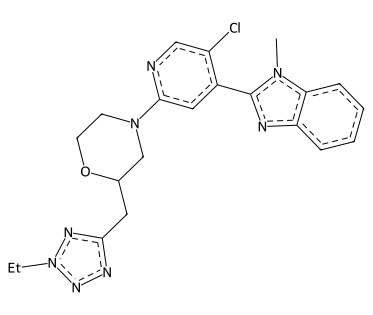 CCn1nnc(CC2CN(c3cc(-c4nc5ccccc5n4C)c(Cl)cn3)CCO2)n1